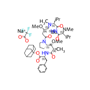 CC[C@H](C)[C@@H]([C@@H](CC(=O)N1CCC[C@H]1[C@H](OC)[C@@H](C)C(=O)N[C@@H](Cc1ccccc1)C(=O)OC12CC3CC(CC(C3)C1)C2)OC)N(C)[C@H](C(=O)NC(=O)[C@@H](NC)C(C)C)C(C)C.O=C([O-])C(F)(F)F.[Na+]